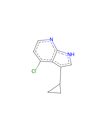 Clc1ccnc2[nH]cc(C3CC3)c12